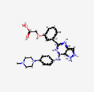 CN1CCN(c2ccc(Nc3nc(-c4cccc(OCC(=O)O)c4)nc4cn[nH]c34)cc2)CC1